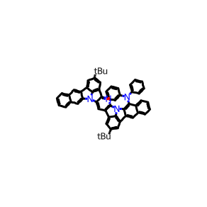 CC(C)(C)c1cc2c3cc4ccccc4cc3n3c4cc5c6cc(C(C)(C)C)cc7c8cc9ccccc9c(N(c9ccccc9)c9ccccc9)c8n(c5nc4c(c1)c23)c67